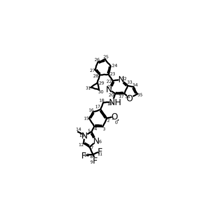 COc1cc(-c2nc(C(F)(F)F)cn2C)ccc1CNc1nc(-c2ccccc2C2CC2)nc2ccoc12